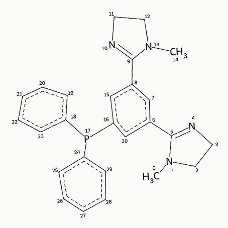 CN1CCN=C1c1cc(C2=NCCN2C)cc(P(c2ccccc2)c2ccccc2)c1